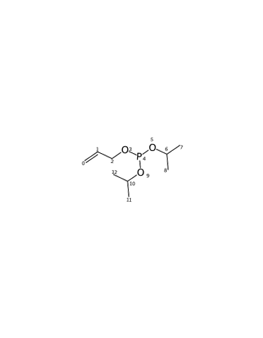 C=CCOP(OC(C)C)OC(C)C